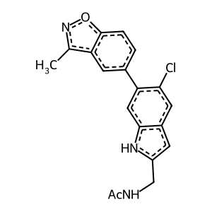 CC(=O)NCc1cc2cc(Cl)c(-c3ccc4onc(C)c4c3)cc2[nH]1